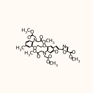 COC(=O)CN(CC(=O)OC)c1ccc(C)cc1OCCOc1cc2cc(-c3ncc(C(=O)OC)o3)oc2cc1N(CC(=O)OC)CC(=O)OC